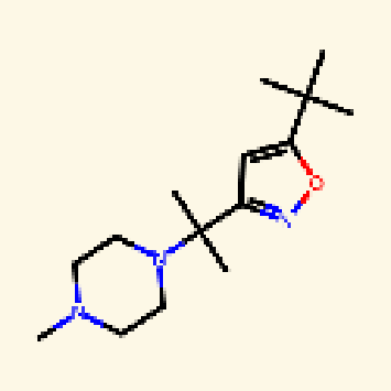 CN1CCN(C(C)(C)c2cc(C(C)(C)C)on2)CC1